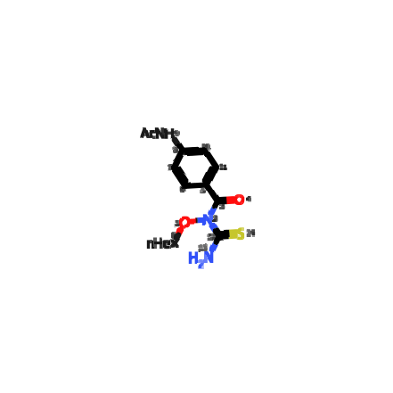 CCCCCCON(C(=O)c1ccc(NC(C)=O)cc1)C(N)=S